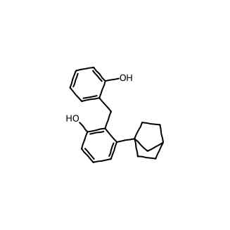 Oc1ccccc1Cc1c(O)cccc1C12CCC(CC1)C2